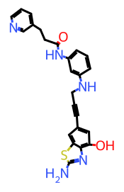 Nc1nc2c(O)cc(C#CCNc3cccc(NC(=O)CCc4cccnc4)c3)cc2s1